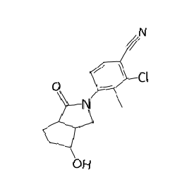 Cc1c(N2CC3C(O)CCC3C2=O)ccc(C#N)c1Cl